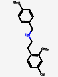 COc1ccc(CNCCc2ccc(C#N)cc2OC)cc1